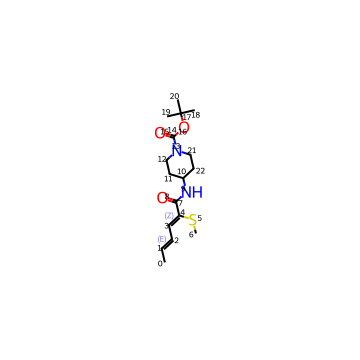 C/C=C/C=C(\SC)C(=O)NC1CCN(C(=O)OC(C)(C)C)CC1